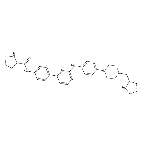 O=C(Nc1ccc(-c2ccnc(Nc3ccc(N4CCN(CC5CCCN5)CC4)cc3)n2)cc1)C1CCCN1